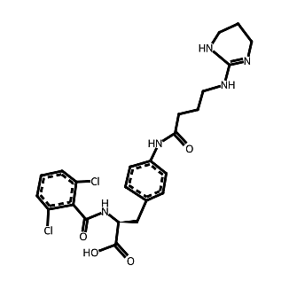 O=C(CCCNC1=NCCCN1)Nc1ccc(C[C@H](NC(=O)c2c(Cl)cccc2Cl)C(=O)O)cc1